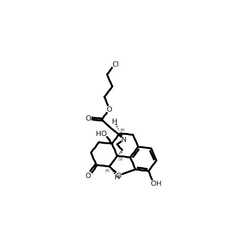 O=C1CCC2(O)[C@H]3Cc4ccc(O)c5c4[C@@]2(CCN3C(=O)OCCCCl)[C@H]1O5